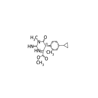 COC(=O)[C@@]1(C)NC(=N)N(C)C(=O)[C@H]1c1ccc(C2CC2)cc1